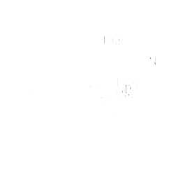 CC(C)CCCC(C)CCCC(C)CCCC(C)CCOCC(COP(=O)(O)OCCCC[N+](C)(C)C)OCCC(C)CCCC(C)CCCC(C)CCCC(C)C.[OH-]